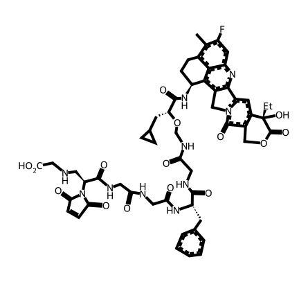 CC[C@@]1(O)C(=O)OCc2c1cc1n(c2=O)Cc2c-1nc1cc(F)c(C)c3c1c2[C@@H](NC(=O)[C@@H](CC1CC1)OCNC(=O)CNC(=O)[C@H](Cc1ccccc1)NC(=O)CNC(=O)CNC(=O)[C@H](CNCC(=O)O)N1C(=O)C=CC1=O)CC3